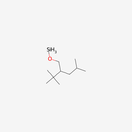 CC(C)CC(CO[SiH3])C(C)(C)C